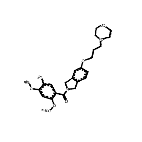 CCCCOc1cc(OCCCC)c(C(C)C)cc1C(=O)N1Cc2ccc(OCCCN3CCOCC3)cc2C1